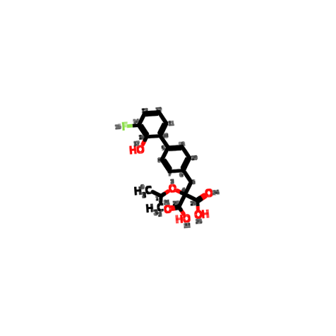 CC(C)OC(Cc1ccc(-c2cccc(F)c2O)cc1)(C(=O)O)C(=O)O